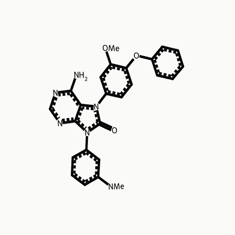 CNc1cccc(-n2c(=O)n(-c3ccc(Oc4ccccc4)c(OC)c3)c3c(N)ncnc32)c1